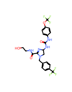 O=C(Nc1ccc(OC(F)(F)F)cc1)NC1CN(Cc2ccc(C(F)(F)F)cc2)C(C(=O)NCCO)=N1